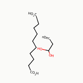 CCCCCCCCCCCC(O)O.O=C(O)CCCCCCCCC(=O)O